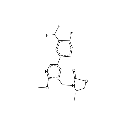 COc1ncc(-c2ccc(F)c(C(F)F)c2)cc1CN1C(=O)OC[C@@H]1C